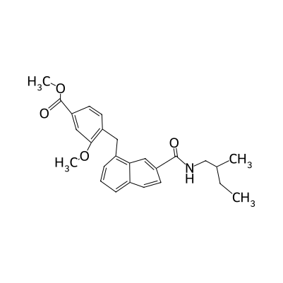 CCC(C)CNC(=O)c1ccc2cccc(Cc3ccc(C(=O)OC)cc3OC)c2c1